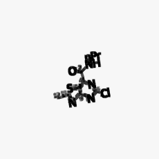 CCCNC(=O)c1nc(Cl)nc2nc(C)sc12